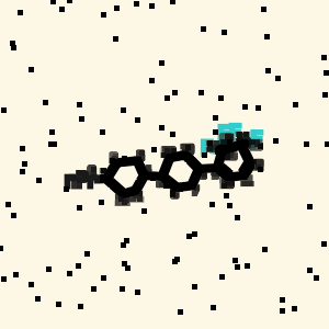 CCCC1CCC(C2CCC(C3=CC=CC(F)(F)C3(F)F)CC2)CC1